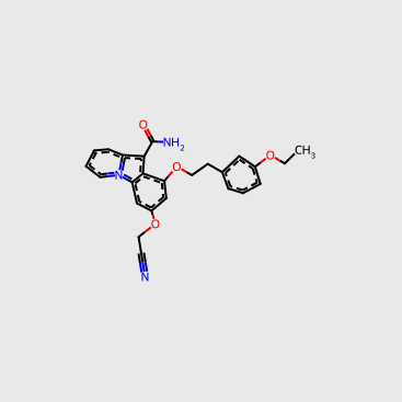 CCOc1cccc(CCOc2cc(OCC#N)cc3c2c(C(N)=O)c2ccccn23)c1